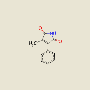 CC1=C(c2ccccc2)C(=O)NC1=O